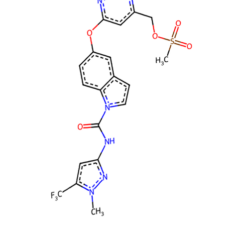 Cn1nc(NC(=O)n2ccc3cc(Oc4cc(COS(C)(=O)=O)ncn4)ccc32)cc1C(F)(F)F